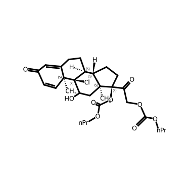 CCCOC(=O)OCC(=O)[C@@]1(OC(=O)OCCC)CC[C@H]2[C@@H]3CCC4=CC(=O)C=C[C@]4(C)[C@@]3(Cl)C(O)C[C@@]21C